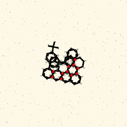 CC(C)(C)c1ccc(-c2ccccc2)c(N(c2ccccc2-c2cccc3cccc(C4CCCCC4)c23)c2ccccc2-c2cccc3c4ccccc4n(-c4ccccc4)c23)c1